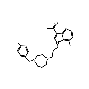 CC(=O)c1cn(CCCN2CCCN(Cc3ccc(F)cc3)CC2)c2c(C)cccc12